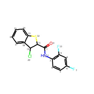 O=C(Nc1ccc(F)cc1F)C1Sc2ccccc2C1Cl